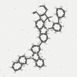 C=CC1=C(/C=C\C)C(C)(C)c2c1ccc1c3cc(-c4ccc5c(c4)c4ccccc4n5-c4ccc5ccccc5c4)ccc3n(-c3cccc(-c4ccccc4)c3)c21